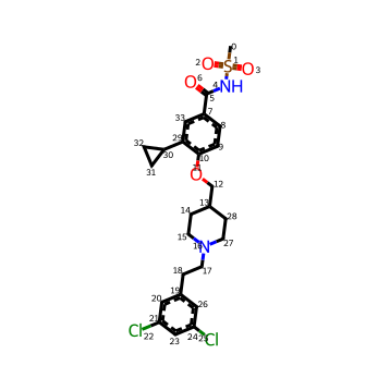 CS(=O)(=O)NC(=O)c1ccc(OCC2CCN(CCc3cc(Cl)cc(Cl)c3)CC2)c(C2CC2)c1